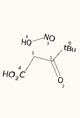 CC(C)(C)C(=O)CC(=O)O.O=NO